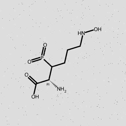 N[C@H](C(=O)O)C(CCCNO)P(=O)=O